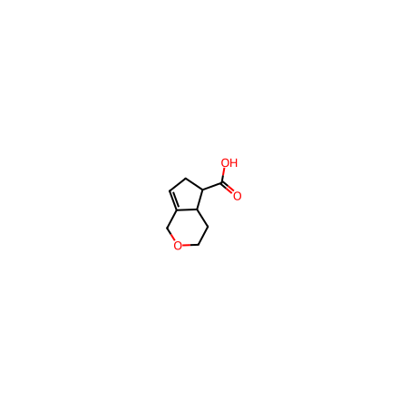 O=C(O)C1CC=C2COCCC21